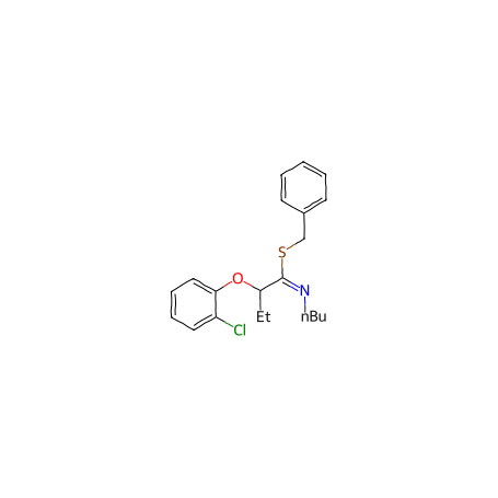 CCCCN=C(SCc1ccccc1)C(CC)Oc1ccccc1Cl